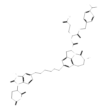 CC(C)c1ccc(CNC(=O)[C@H](CCC(N)=O)NC(=O)[C@@H]2Cc3cc(CCCCCCc4ccc5c(c4)n(C)c(=O)n5C4CCC(=O)NC4=O)cc4c3N2C(=O)[C@@H](N)CC4)cc1